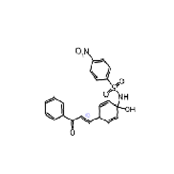 O=C(/C=C/C1C=CC(O)(NS(=O)(=O)c2ccc([N+](=O)[O-])cc2)C=C1)c1ccccc1